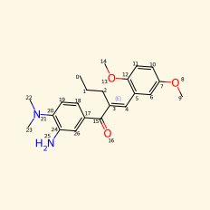 CCC/C(=C\c1cc(OC)ccc1OC)C(=O)c1ccc(N(C)C)c(N)c1